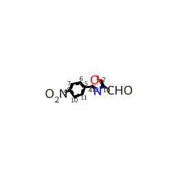 O=Cc1coc(-c2ccc([N+](=O)[O-])cc2)n1